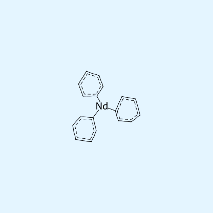 c1cc[c]([Nd]([c]2ccccc2)[c]2ccccc2)cc1